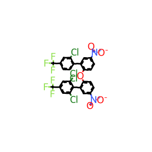 O=[N+]([O-])c1ccc(Oc2ccc([N+](=O)[O-])cc2-c2c(Cl)cc(C(F)(F)F)cc2Cl)c(-c2c(Cl)cc(C(F)(F)F)cc2Cl)c1